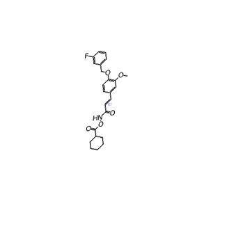 COc1cc(/C=C/C(=O)NOC(=O)C2CCCCC2)ccc1OCc1cccc(F)c1